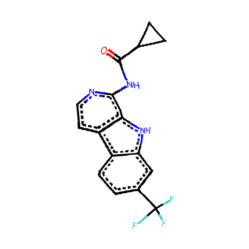 O=C(Nc1nccc2c1[nH]c1cc(C(F)(F)F)ccc12)C1CC1